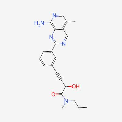 CCCN(C)C(=O)[C@H](O)C#Cc1cccc(-c2ncc3c(C)cnc(N)c3n2)c1